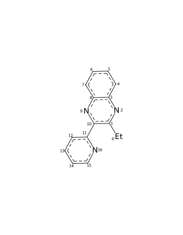 CCc1nc2ccccc2nc1-c1ccccn1